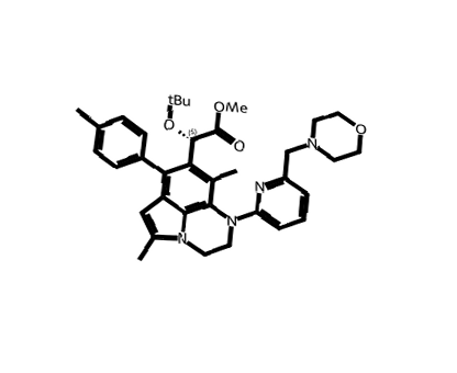 COC(=O)[C@@H](OC(C)(C)C)c1c(C)c2c3c(cc(C)n3CCN2c2cccc(CN3CCOCC3)n2)c1-c1ccc(C)cc1